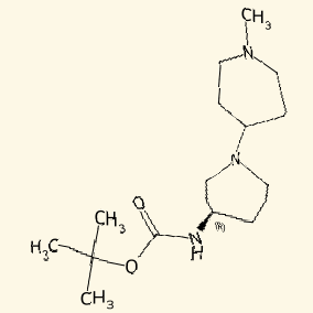 CN1CCC(N2CC[C@@H](NC(=O)OC(C)(C)C)C2)CC1